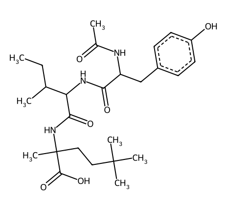 CCC(C)C(NC(=O)C(Cc1ccc(O)cc1)NC(C)=O)C(=O)NC(C)(CCC(C)(C)C)C(=O)O